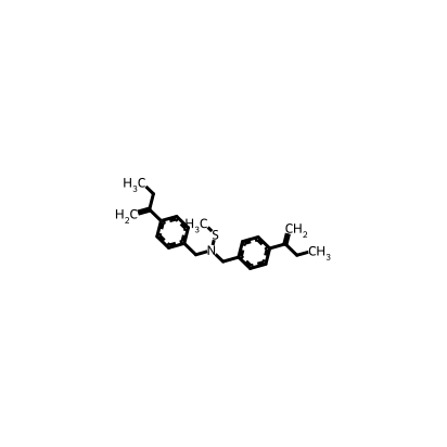 C=C(CC)c1ccc(CN(Cc2ccc(C(=C)CC)cc2)SC)cc1